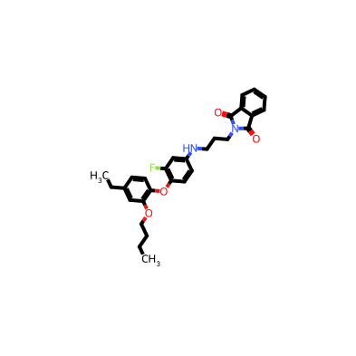 CCCCOc1cc(CC)ccc1Oc1ccc(NCCCN2C(=O)c3ccccc3C2=O)cc1F